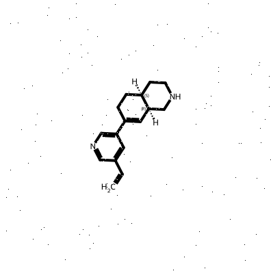 C=Cc1cncc(C2=C[C@@H]3CNCC[C@@H]3CC2)c1